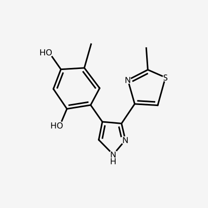 Cc1nc(-c2n[nH]cc2-c2cc(C)c(O)cc2O)cs1